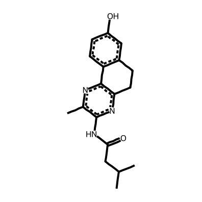 Cc1nc2c(nc1NC(=O)CC(C)C)CCc1cc(O)ccc1-2